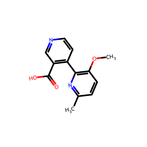 COc1ccc(C)nc1-c1ccncc1C(=O)O